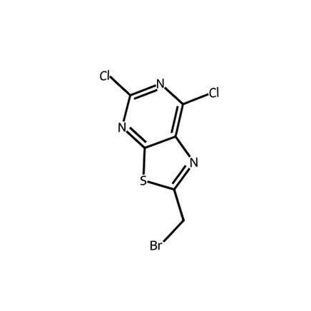 Clc1nc(Cl)c2nc(CBr)sc2n1